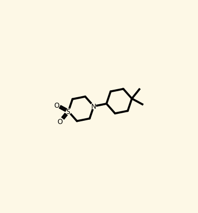 CC1(C)CCC(N2CCS(=O)(=O)CC2)CC1